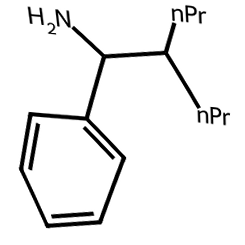 CCCC(CCC)C(N)c1ccccc1